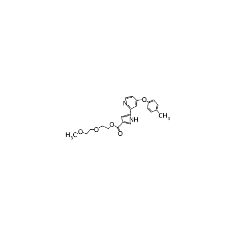 COCCOCCOC(=O)c1c[nH]c(-c2cc(Oc3ccc(C)cc3)ccn2)c1